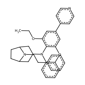 CCOc1cc(-c2ccncc2)cc2c1N(C1CC3CCC(C1)N3CCc1ccccc1)c1ccccc1O2